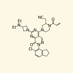 C=CC(=O)N1CCN(c2nc(N3CC(N(CC)CC)C3)nc3c(=O)n(-c4c(Cl)ccc5c4CCC5)ncc23)CC1CC#N